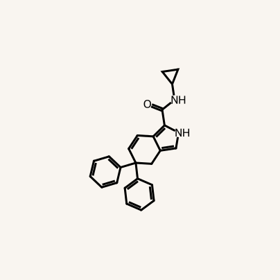 O=C(NC1CC1)c1[nH]cc2c1C=CC(c1ccccc1)(c1ccccc1)C2